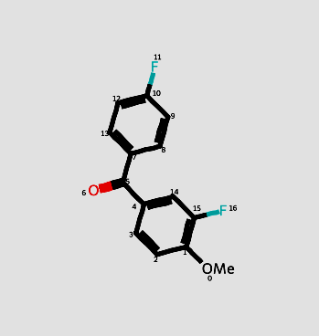 COc1ccc(C(=O)c2ccc(F)cc2)cc1F